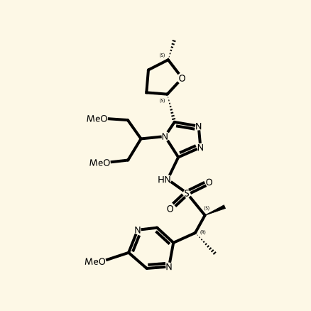 COCC(COC)n1c(NS(=O)(=O)[C@@H](C)[C@H](C)c2cnc(OC)cn2)nnc1[C@@H]1CC[C@H](C)O1